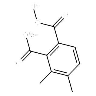 COC(=O)c1c(C(=O)OC(C)C)ccc(C)c1C